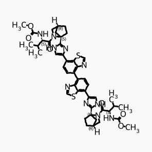 COC(=O)N[C@H](C(=O)N1C[C@@H]2CC[C@@]1(c1nc(-c3ccc(-c4ccc(-c5c[nH]c([C@@]67CC[C@@H](CN6C(=O)[C@@H](NC(=O)OC)C(C)C)C7)n5)c5scnc45)c4ncsc34)c[nH]1)C2)C(C)C